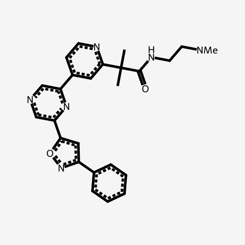 CNCCNC(=O)C(C)(C)c1cc(-c2cncc(-c3cc(-c4ccccc4)no3)n2)ccn1